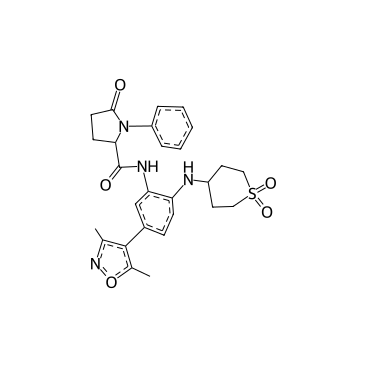 Cc1noc(C)c1-c1ccc(NC2CCS(=O)(=O)CC2)c(NC(=O)C2CCC(=O)N2c2ccccc2)c1